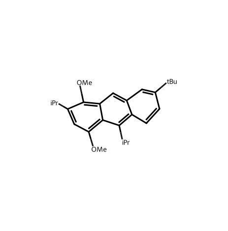 COc1c(C(C)C)cc(OC)c2c(C(C)C)c3ccc(C(C)(C)C)cc3cc12